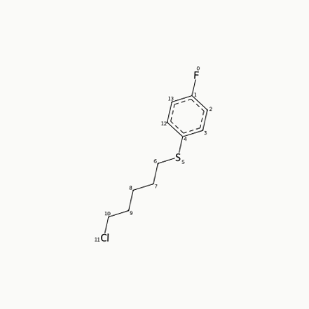 Fc1ccc(SCCCCCCl)cc1